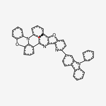 c1ccc(N2c3ccccc3Oc3cccc(-c4ccc5oc6ccc(-c7ccc8c9ccccc9n(-c9ccccc9)c8c7)nc6c5n4)c32)cc1